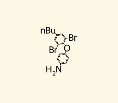 CCCCc1cc(Br)c(Oc2ccc(N)cc2)c(Br)c1